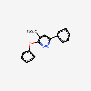 CCOC(=O)c1cc(-c2ccccc2)nnc1Oc1ccccc1